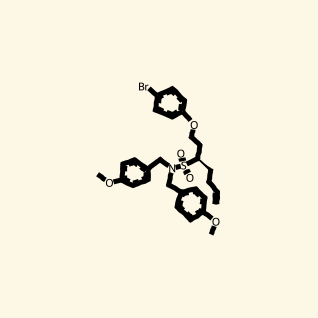 C=CCC[C@H](CCOc1ccc(Br)cc1)S(=O)(=O)N(Cc1ccc(OC)cc1)Cc1ccc(OC)cc1